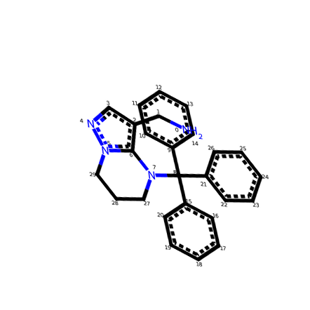 NCc1cnn2c1N(C(c1ccccc1)(c1ccccc1)c1ccccc1)CCC2